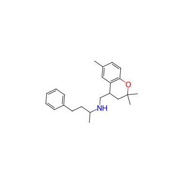 Cc1ccc2c(c1)C(CNC(C)CCc1ccccc1)CC(C)(C)O2